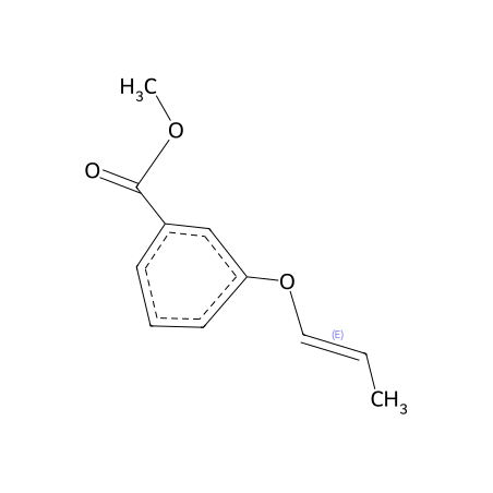 C/C=C/Oc1cccc(C(=O)OC)c1